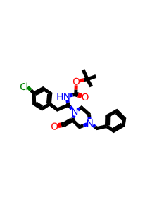 CC(C)(C)OC(=O)NC(Cc1ccc(Cl)cc1)N1CCN(Cc2ccccc2)CC1=C=O